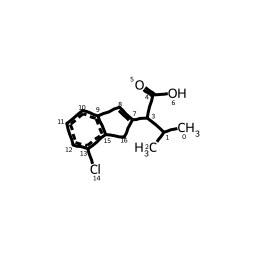 CC(C)C(C(=O)O)C1=Cc2cccc(Cl)c2C1